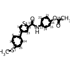 CSc1ccc(-c2csc(C(=O)Nc3ccc(OC(C)=O)cc3)c2)cc1